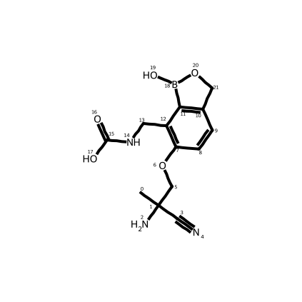 CC(N)(C#N)COc1ccc2c(c1CNC(=O)O)B(O)OC2